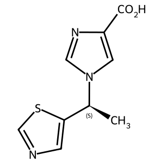 C[C@@H](c1cncs1)n1cnc(C(=O)O)c1